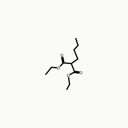 [CH2]CCCC(C(=O)OCC)C(=O)OCC